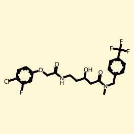 CN(Cc1ccc(C(F)(F)F)cc1)C(=O)CC(O)CCNC(=O)COc1ccc(Cl)c(F)c1